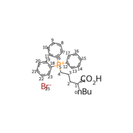 CCCCC(CCC[P+](c1ccccc1)(c1ccccc1)c1ccccc1)C(=O)O.[Br-]